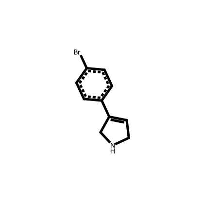 Brc1ccc(C2=CCNC2)cc1